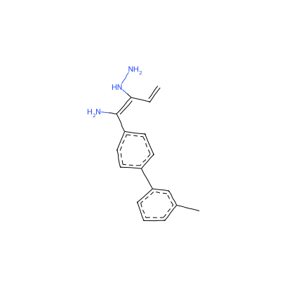 C=C/C(NN)=C(/N)c1ccc(-c2cccc(C)c2)cc1